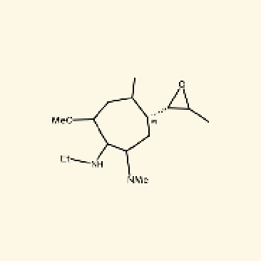 CCNC1C(NC)C[C@@H](C2OC2C)C(C)CC1OC